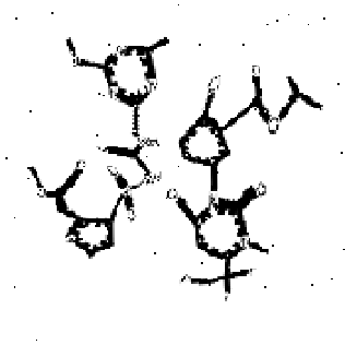 CC(C)OC(=O)c1cc(-n2c(=O)cc(C(F)(F)F)n(C)c2=O)ccc1Cl.COC(=O)c1sccc1S(=O)(=O)NC(=O)Nc1nc(C)nc(OC)n1